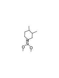 CO[SiH](OC)C1CCC(C)C(C)C1